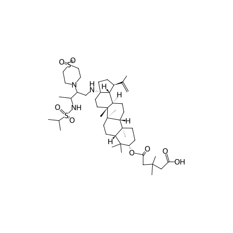 C=C(C)[C@@H]1CC[C@]2(NCC(C(C)NS(=O)(=O)C(C)C)N3CCS(=O)(=O)CC3)CC[C@]3(C)[C@H](CC[C@@H]4[C@@]5(C)CC[C@H](OC(=O)CC(C)(C)CC(=O)O)C(C)(C)[C@@H]5CC[C@]43C)[C@@H]12